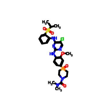 COc1cc(P2(=O)CCN(C(=O)N(C)C)CC2)ccc1Nc1ncc(Cl)c(Nc2ccccc2S(=O)(=O)C(C)C)n1